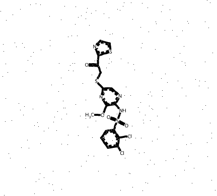 COc1nc(SCC(=O)c2nccs2)cnc1NS(=O)(=O)c1cccc(Cl)c1Cl